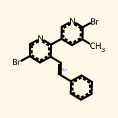 Cc1cc(-c2ncc(Br)cc2/C=C/c2ccccc2)cnc1Br